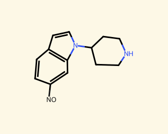 O=Nc1ccc2ccn(C3CCNCC3)c2c1